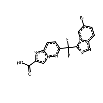 O=C(O)c1cn2nc(C(F)(F)c3nnc4ccc(Br)cn34)ccc2n1